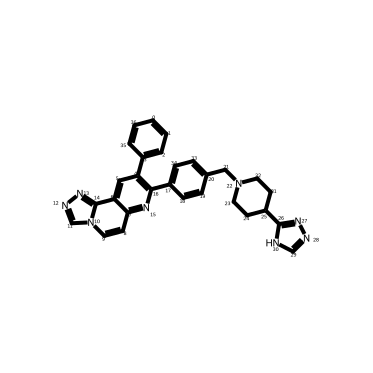 c1ccc(-c2cc3c(ccn4cnnc34)nc2-c2ccc(CN3CCC(c4nnc[nH]4)CC3)cc2)cc1